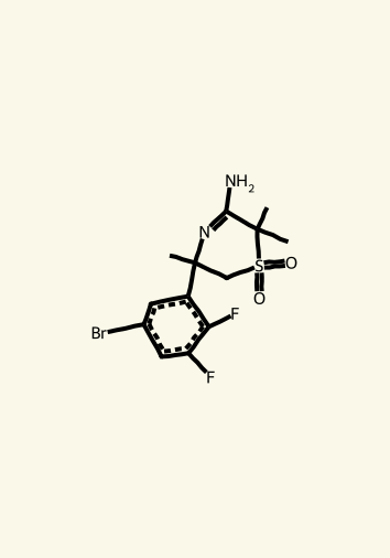 CC1(c2cc(Br)cc(F)c2F)CS(=O)(=O)C(C)(C)C(N)=N1